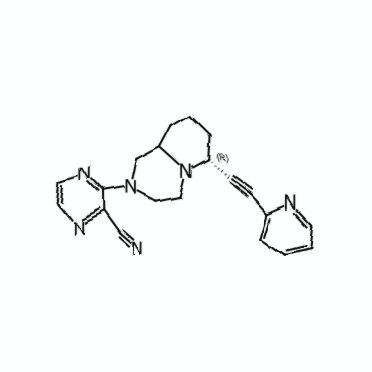 N#Cc1nccnc1N1CCN2C(CCC[C@@H]2C#Cc2ccccn2)C1